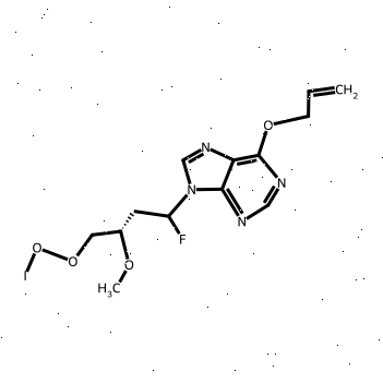 C=CCOc1ncnc2c1ncn2C(F)C[C@@H](COOI)OC